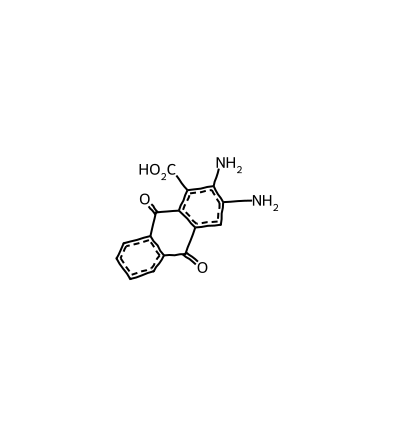 Nc1cc2c(c(C(=O)O)c1N)C(=O)c1ccccc1C2=O